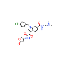 CN(C)CCNC(=O)c1ccc2c(C(=O)C(=O)NC3=CC(=O)OC3)cn(Cc3ccc(Cl)cc3)c2c1